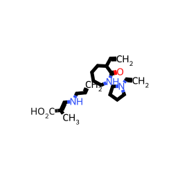 C=CC1CCCCNC1=O.C=CCNC=C(C)C(=O)O.C=CN1CCCC1